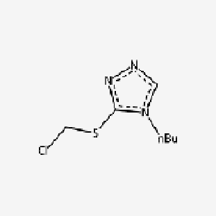 CCCCn1cnnc1SCCl